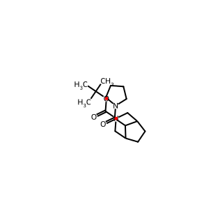 CC(C)(C)OC(=O)N1CC2CCC(C1)C2C(=O)N1CCCC1